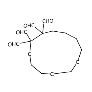 O=CC1(C=O)CCCCCCCCCCC1(C=O)C=O